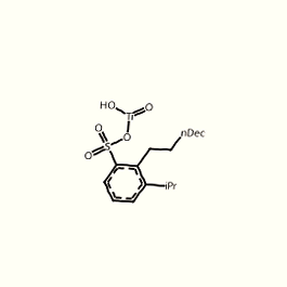 CCCCCCCCCCCCc1c(C(C)C)cccc1S(=O)(=O)[O][Ti](=[O])[OH]